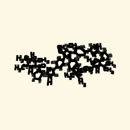 C=C(N[C@H](C(=O)N1CCC[C@H]1c1nc(-c2ccc([C@H]3[C@@H](OC)[C@H](CC)[C@H](c4ccc(-c5c[nH]c([C@@H]6CCCN6C(=C)[C@@H](NC(=O)OC)C(C)C)n5)cc4)N3c3ccc(C(C)(C)C)cc3)cc2)c[nH]1)C(C)C)OC